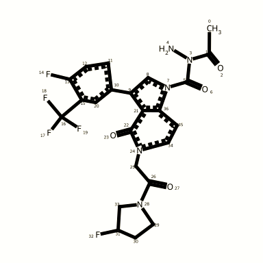 CC(=O)N(N)C(=O)n1cc(-c2ccc(F)c(C(F)(F)F)c2)c2c(=O)n(CC(=O)N3CCC(F)C3)ccc21